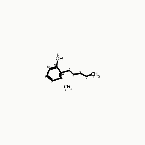 C.CCCCCc1ccccc1O